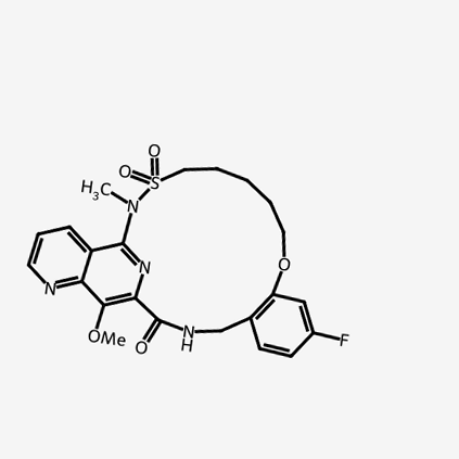 COc1c2nc(c3cccnc13)N(C)S(=O)(=O)CCCCCOc1cc(F)ccc1CNC2=O